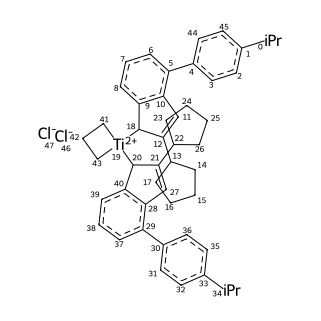 CC(C)c1ccc(-c2cccc3c2C=C(C2CCCC2)[CH]3[Ti+2]2([CH]3C(C4CCCC4)=Cc4c(-c5ccc(C(C)C)cc5)cccc43)[CH2]C[CH2]2)cc1.[Cl-].[Cl-]